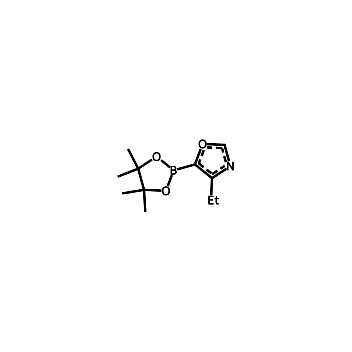 CCc1ncoc1B1OC(C)(C)C(C)(C)O1